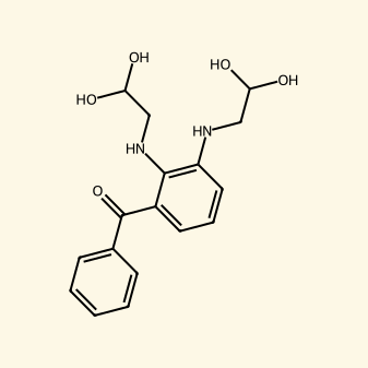 O=C(c1ccccc1)c1cccc(NCC(O)O)c1NCC(O)O